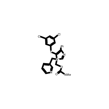 CNC(=O)OC[N+]1(Cc2cccnc2)C=NC(C(C)C)=C1Sc1cc(Cl)cc(Cl)c1